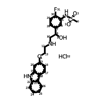 CS(=O)(=O)Nc1cc(C(O)CNCCOc2ccc3c(c2)[nH]c2ccccc23)ccc1F.Cl